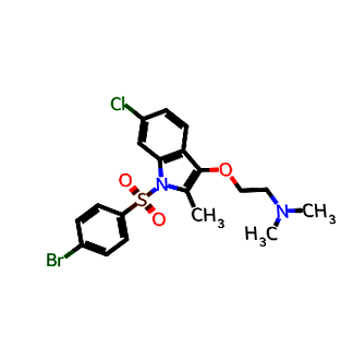 Cc1c(OCCN(C)C)c2ccc(Cl)cc2n1S(=O)(=O)c1ccc(Br)cc1